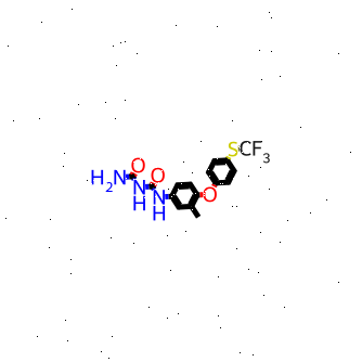 Cc1cc(NC(=O)NC(N)=O)ccc1Oc1ccc(SC(F)(F)F)cc1